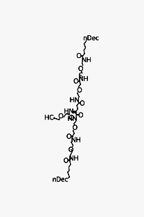 C#CCOCCC(=O)N[C@@H](CCC(=O)NCCOCCC(=O)NCCOCCNC(=O)CCCCCCCCCCCCCCC)C(=O)NCCOCCC(=O)NCCOCCNC(=O)CCCCCCCCCCCCCCC